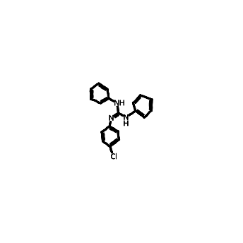 Clc1ccc(N=C(Nc2ccccc2)Nc2ccccc2)cc1